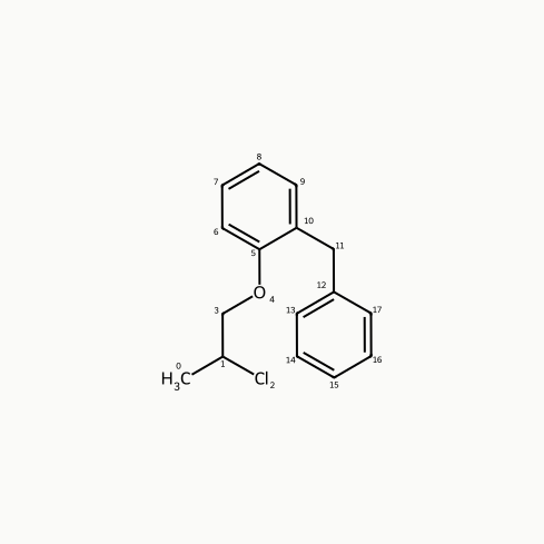 CC(Cl)COc1ccccc1Cc1ccccc1